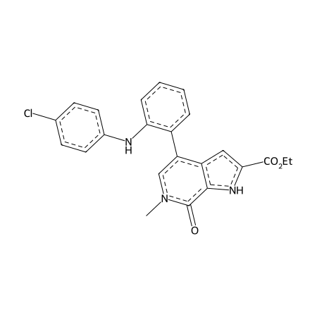 CCOC(=O)c1cc2c(-c3ccccc3Nc3ccc(Cl)cc3)cn(C)c(=O)c2[nH]1